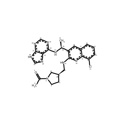 CC(=O)N1CC[C@H](CNc2nc3c(Cl)cccc3cc2[C@H](C)Nc2ncnc3[nH]cnc23)C1